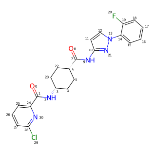 O=C(N[C@H]1CC[C@@H](C(=O)Nc2ccn(-c3ccccc3F)n2)CC1)c1cccc(Cl)n1